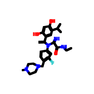 C=C(c1cc(C(C)C)c(O)cc1O)N(C(=N)C(=O)NCC)c1ccc(CN2CCN(C)CC2)c(F)c1